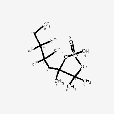 CC1(C)OP(=O)(O)OC1(C)CC(F)(F)C(F)(F)CC(F)(F)F